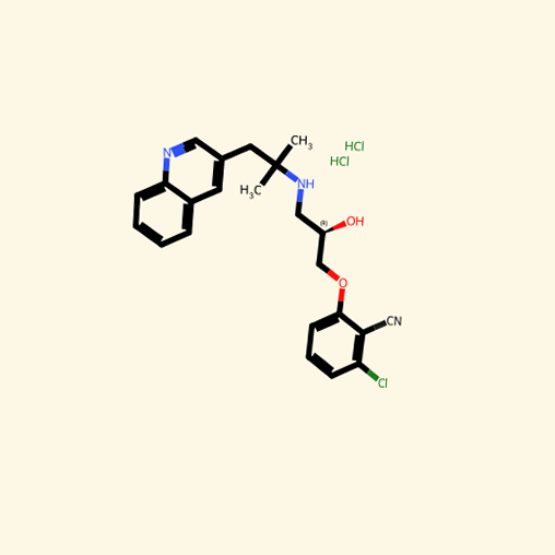 CC(C)(Cc1cnc2ccccc2c1)NC[C@@H](O)COc1cccc(Cl)c1C#N.Cl.Cl